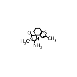 Cc1cc2c(s1)CCC[C@]21N=C(N)N(C)C1=O